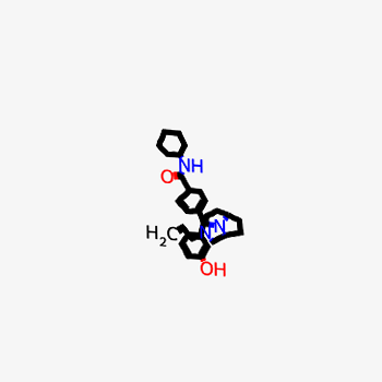 C=CCN1CCC2CCC(C1)N2C(C1=CCC(C(=O)NC2CCCCC2)C=C1)c1cccc(O)c1